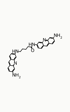 Nc1ccc2cc3ccc(NCCCCC(=O)Nc4ccc5cc6ccc(N)cc6nc5c4)cc3nc2c1